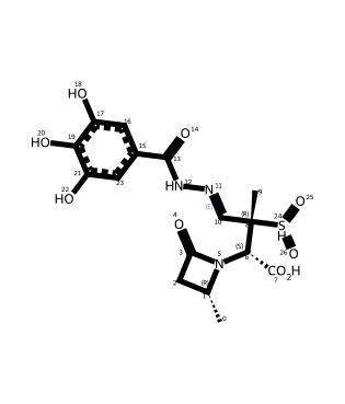 C[C@@H]1CC(=O)N1[C@@H](C(=O)O)[C@](C)(/C=N/NC(=O)c1cc(O)c(O)c(O)c1)[SH](=O)=O